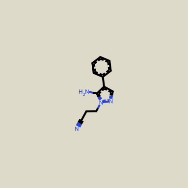 N#CCCn1ncc(-c2ccccc2)c1N